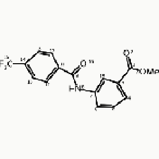 COC(=O)c1cccc(NC(=O)c2ccc(C(F)(F)F)cc2)c1